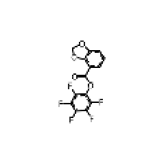 O=C(Oc1c(F)c(F)c(F)c(F)c1F)c1cccc2c1OCO2